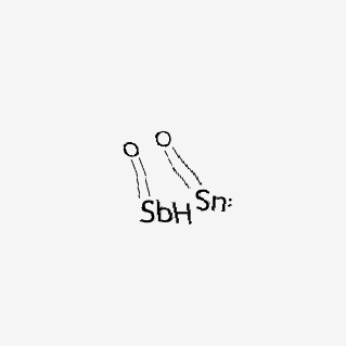 [O]=[SbH].[O]=[Sn]